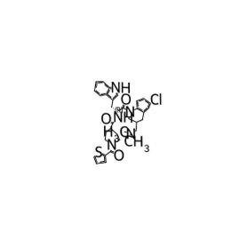 CN(C)CC1Cc2cc(Cl)ccc2N(C(=O)[C@@H](Cc2c[nH]c3ccccc23)NC(=O)C2CCN(C(=O)c3cccs3)CC2)C1